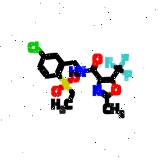 CCS(=O)(=O)c1ccc(Cl)cc1CNC(=O)c1nc(C)oc1C(F)(F)F